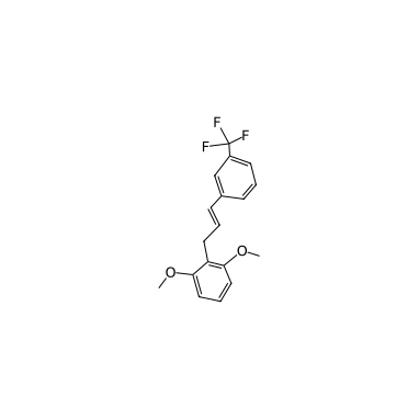 COc1cccc(OC)c1C/C=C/c1cccc(C(F)(F)F)c1